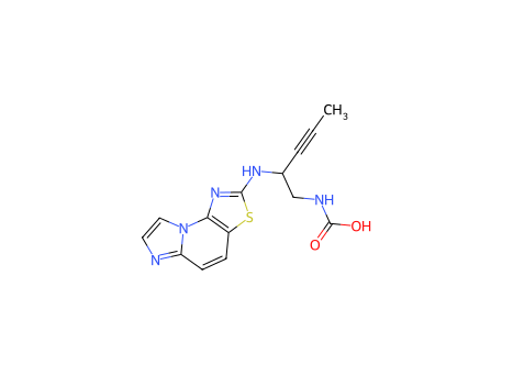 CC#CC(CNC(=O)O)Nc1nc2c(ccc3nccn32)s1